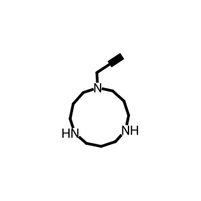 C#CCN1CCCNCCCNCCC1